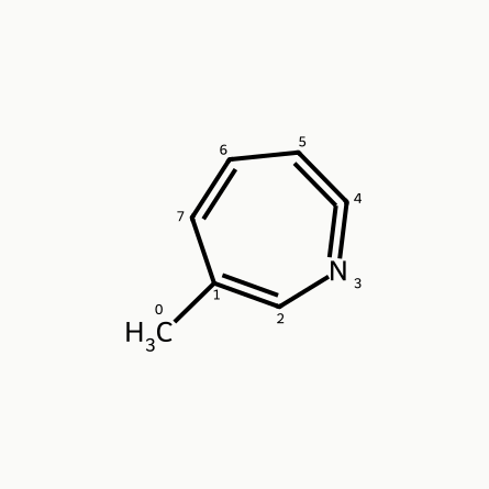 CC1=CN=C=CC=C1